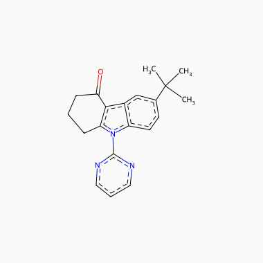 CC(C)(C)c1ccc2c(c1)c1c(n2-c2ncccn2)CCCC1=O